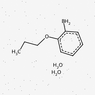 Bc1ccccc1OCCC.O.O